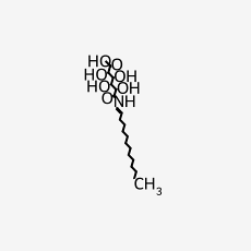 CCCCCCCCCCCCC=CNC(=O)[C@@H](O)[C@H](O)[C@@H](O)[C@@H](O)C(=O)O